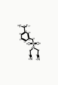 N#CCN(CC#N)S(=O)(=O)Cc1cccc(C(F)F)c1